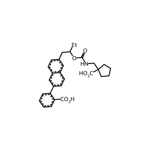 CCC(Cc1ccc2cc(-c3ccccc3C(=O)O)ccc2c1)OC(=O)NCC1(C(=O)O)CCCC1